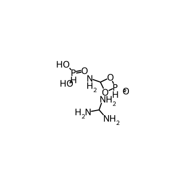 NC(N)N.NC1O[PH](=O)O1.O=[PH](O)O